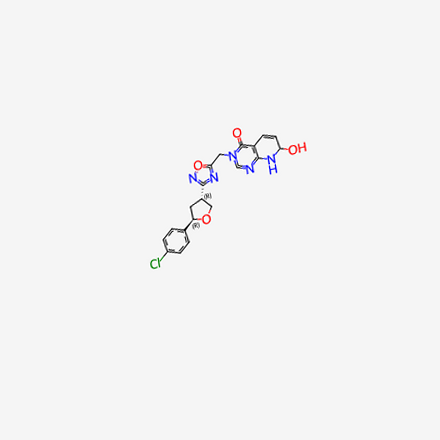 O=c1c2c(ncn1Cc1nc([C@@H]3CO[C@@H](c4ccc(Cl)cc4)C3)no1)NC(O)C=C2